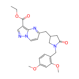 CCOC(=O)c1cnn2ccc(CC3CC(=O)N(Cc4ccc(OC)cc4OC)C3)nc12